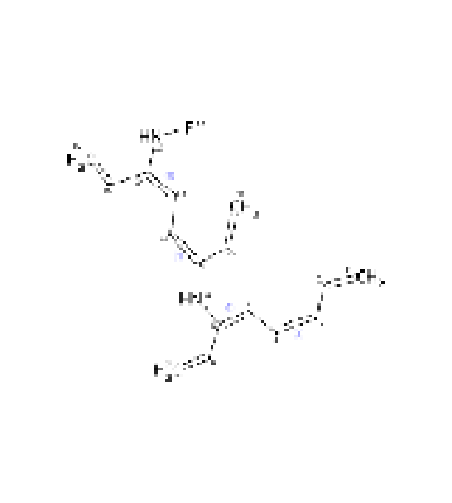 C=C/C=C\C=C(/C=C)N/C(C=C)=C/C=C(\C=C)NF